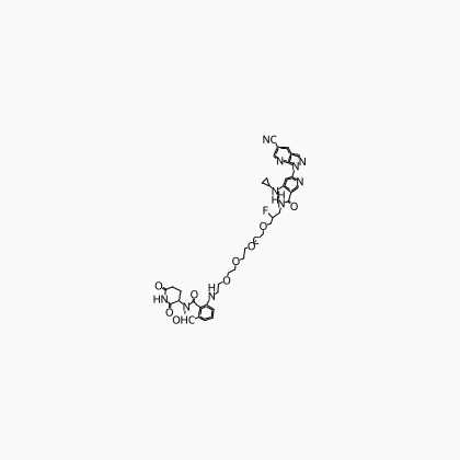 CN(C(=O)c1c(C=O)cccc1NCCOCCOCCOCCOCC(F)CNC(=O)c1cnc(-n2ncc3cc(C#N)cnc32)cc1NC1CC1)C1CCC(=O)NC1=O